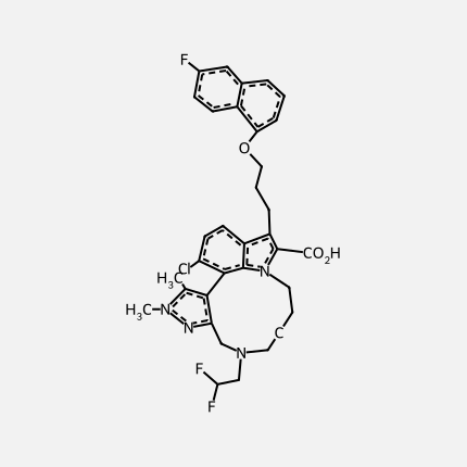 Cc1c2c(nn1C)CN(CC(F)F)CCCCn1c(C(=O)O)c(CCCOc3cccc4cc(F)ccc34)c3ccc(Cl)c-2c31